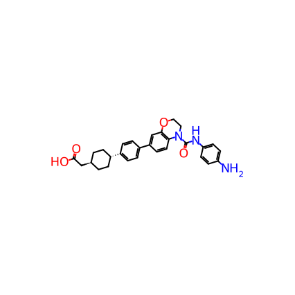 Nc1ccc(NC(=O)N2CCOc3cc(-c4ccc([C@H]5CC[C@H](CC(=O)O)CC5)cc4)ccc32)cc1